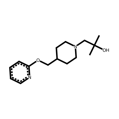 CC(C)(O)CN1CCC(COc2ccccn2)CC1